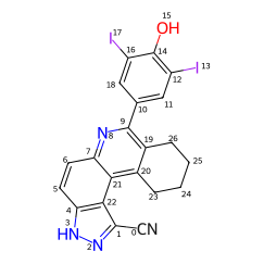 N#Cc1n[nH]c2ccc3nc(-c4cc(I)c(O)c(I)c4)c4c(c3c12)CCCC4